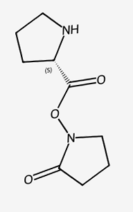 O=C(ON1CCCC1=O)[C@@H]1CCCN1